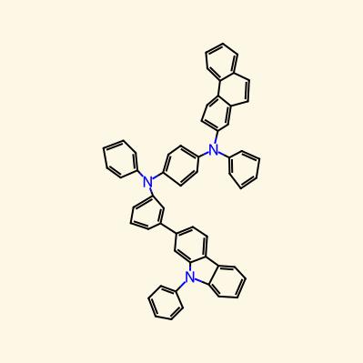 c1ccc(N(c2ccc(N(c3ccccc3)c3ccc4c(ccc5ccccc54)c3)cc2)c2cccc(-c3ccc4c5ccccc5n(-c5ccccc5)c4c3)c2)cc1